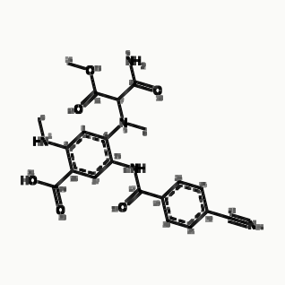 CNc1cc(N(C)C(C(N)=O)C(=O)OC)c(NC(=O)c2ccc(C#N)cc2)cc1C(=O)O